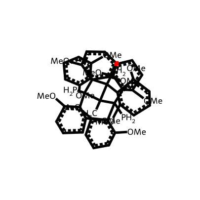 COc1cccc(OC)c1C(P)(c1c(OC)cccc1OC)C(C)(C(P)(c1c(OC)cccc1OC)c1c(OC)cccc1OC)C(P)(c1c(OC)cccc1OC)c1c(OC)cccc1OC